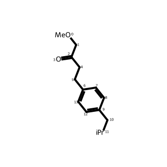 COCC(=O)CCc1ccc(CC(C)C)cc1